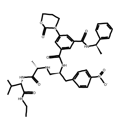 CCNC(=O)[C@@H](NC(=O)[C@H](C)NC[C@H](Cc1ccc([N+](=O)[O-])cc1)NC(=O)c1cc(C(=O)N[C@H](C)c2ccccc2)cc(N2CCCOC2=O)c1)C(C)C